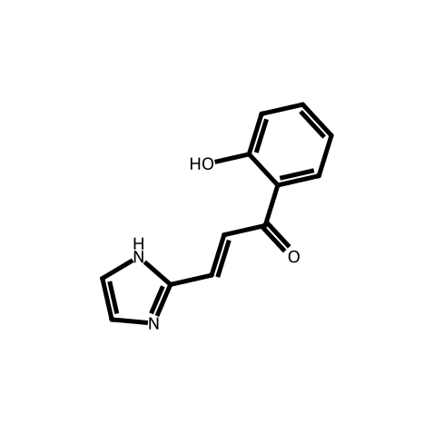 O=C(C=Cc1ncc[nH]1)c1ccccc1O